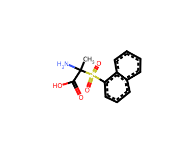 CC(N)(C(=O)O)S(=O)(=O)c1cccc2ccccc12